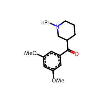 CCCN1CCCC(C(=O)c2cc(OC)cc(OC)c2)C1